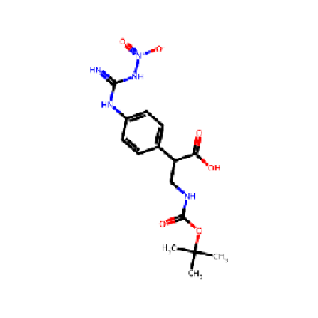 CC(C)(C)OC(=O)NCC(C(=O)O)c1ccc(NC(=N)N[N+](=O)[O-])cc1